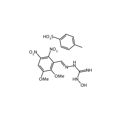 COc1cc([N+](=O)[O-])c([N+](=O)[O-])c(C=NNC(=N)NO)c1OC.Cc1ccc(S(=O)(=O)O)cc1